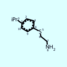 CC(C)c1ccc(SCCN)cc1